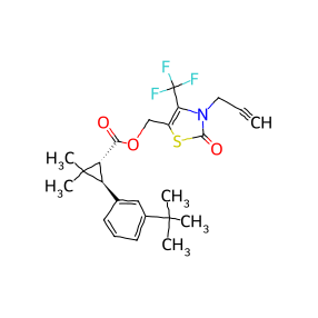 C#CCn1c(C(F)(F)F)c(COC(=O)[C@@H]2[C@@H](c3cccc(C(C)(C)C)c3)C2(C)C)sc1=O